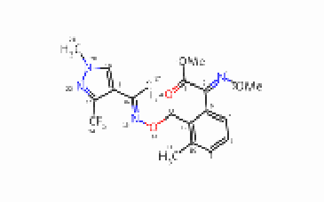 CO/N=C(/C(=O)OC)c1cccc(C)c1CO/N=C(\C)c1cn(C)nc1C(F)(F)F